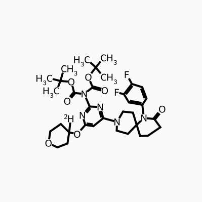 [2H]C1(Oc2cc(N3CCC4(CCCC(=O)N4c4ccc(F)c(F)c4)CC3)nc(N(C(=O)OC(C)(C)C)C(=O)OC(C)(C)C)n2)CCOCC1